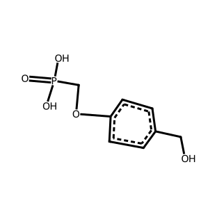 O=P(O)(O)COc1ccc(CO)cc1